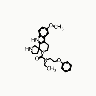 CCN(CCOc1ccccc1)C(=O)N1CCc2c([nH]c3ccc(OC)cc23)C12CCNC2